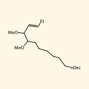 CCC=CC(OC)C(CCCCCCCCCCCCCCCC)OC